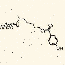 CCCCCOC(C)CCCCCOC(=O)c1ccc(O)cc1